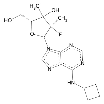 CC1(O)[C@@H](CO)OC(n2cnc3c(NC4CCC4)ncnc32)[C@]1(C)F